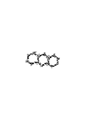 c1ccc2nc3cncnc3cc2c1